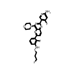 Nc1cc(F)c(-c2nc(N3CCOCC3)c3nc(-c4cccc(NSCCCF)c4F)ccc3n2)cn1